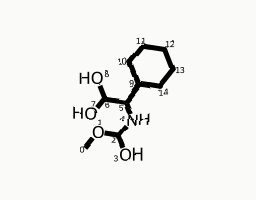 COC(O)NC(C(O)O)C1CCCCC1